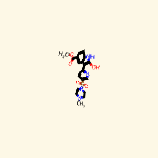 COC(=O)c1ccc2[nH]c(O)c(-c3ccc(S(=O)(=O)N4CCN(C)CC4)cn3)c2c1